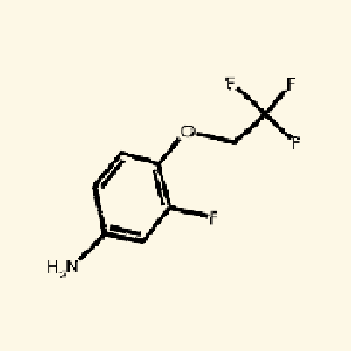 Nc1ccc(OCC(F)(F)F)c(F)c1